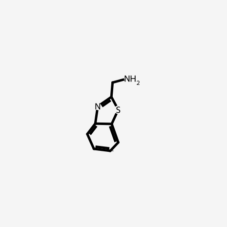 NCc1nc2cc[c]cc2s1